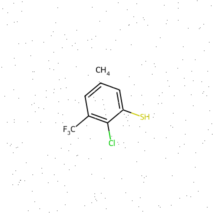 C.FC(F)(F)c1cccc(S)c1Cl